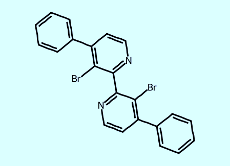 Brc1c(-c2ccccc2)ccnc1-c1nccc(-c2ccccc2)c1Br